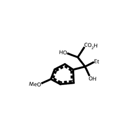 CCC(O)(c1ccc(OC)cc1)C(O)C(=O)O